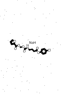 O=C(CCCNC(=O)OCOC(=O)c1ccco1)Oc1ccc(Cl)cc1.[NaH]